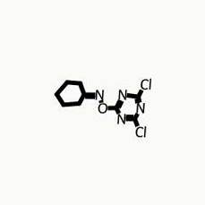 Clc1nc(Cl)nc(ON=C2CCCCC2)n1